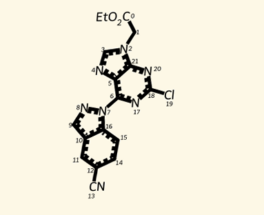 CCOC(=O)Cn1cnc2c(-n3ncc4cc(C#N)ccc43)nc(Cl)nc21